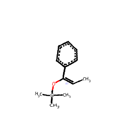 C/C=C(/O[Si](C)(C)C)c1ccccc1